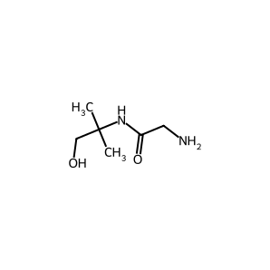 CC(C)(CO)NC(=O)CN